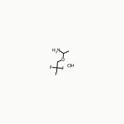 CC(N)OCC(F)(F)F.Cl